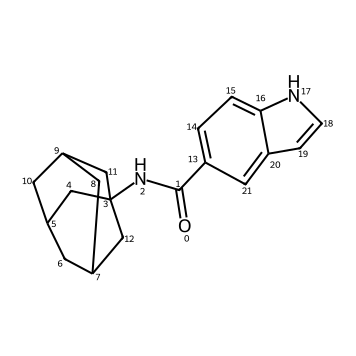 O=C(NC12CC3CC(CC(C3)C1)C2)c1ccc2[nH]ccc2c1